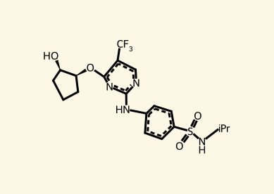 CC(C)NS(=O)(=O)c1ccc(Nc2ncc(C(F)(F)F)c(O[C@H]3CCC[C@H]3O)n2)cc1